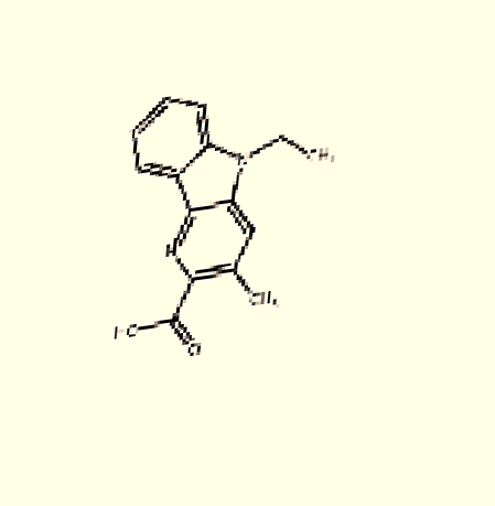 CCn1c2ccccc2c2nc(C(=O)O)c(C)cc21